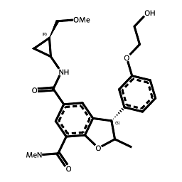 CNC(=O)c1cc(C(=O)NC2C[C@H]2COC)cc2c1OC(C)[C@H]2c1cccc(OCCO)c1